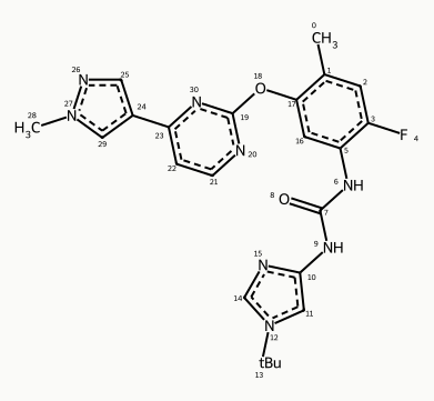 Cc1cc(F)c(NC(=O)Nc2cn(C(C)(C)C)cn2)cc1Oc1nccc(-c2cnn(C)c2)n1